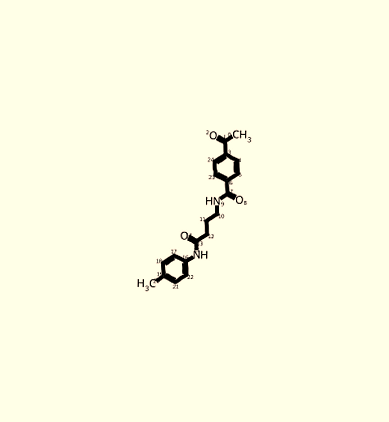 CC(=O)c1ccc(C(=O)NCCCC(=O)Nc2ccc(C)cc2)cc1